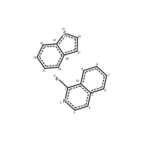 [Ir][c]1nccc2ccccc12.c1ccc2sccc2c1